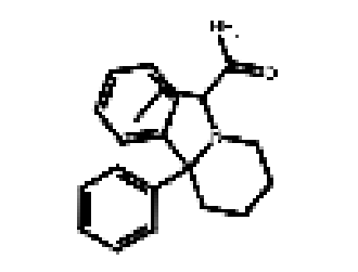 CCC(C(N)=O)N1CCCCC1(c1ccccc1)c1ccccc1